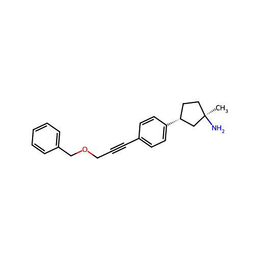 C[C@@]1(N)CC[C@@H](c2ccc(C#CCOCc3ccccc3)cc2)C1